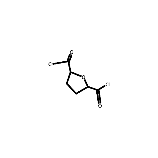 O=C(Cl)C1CCC(C(=O)Cl)O1